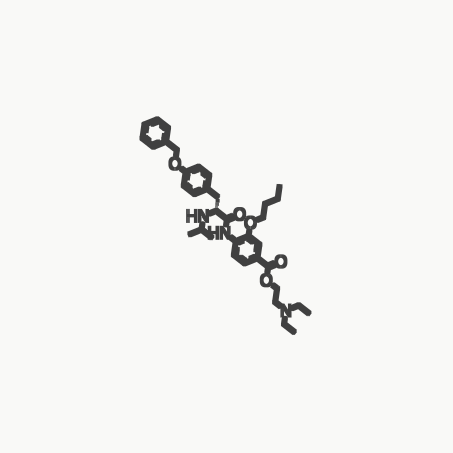 CCCCOc1cc(C(=O)OCCN(CC)CC)ccc1NC(=O)[C@@H](Cc1ccc(OCc2ccccc2)cc1)NC(C)C